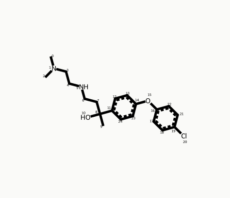 CN(C)CCNCCC(C)(O)c1ccc(Oc2ccc(Cl)cc2)cc1